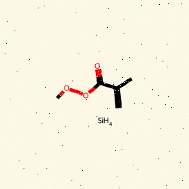 C=C(C)C(=O)OOC.[SiH4]